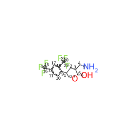 CC(CC(CN)C(=O)O)c1ccc(C(F)(F)F)cc1C(F)(F)F